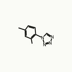 Cc1ccc(-n2cnnn2)c(C)c1